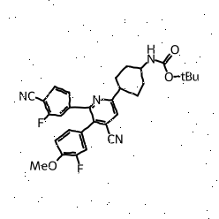 COc1ccc(-c2c(C#N)cc(C3CCC(NC(=O)OC(C)(C)C)CC3)nc2-c2ccc(C#N)c(F)c2)cc1F